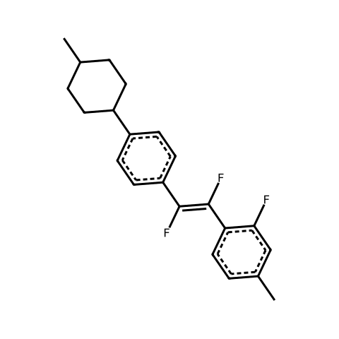 Cc1ccc(/C(F)=C(\F)c2ccc(C3CCC(C)CC3)cc2)c(F)c1